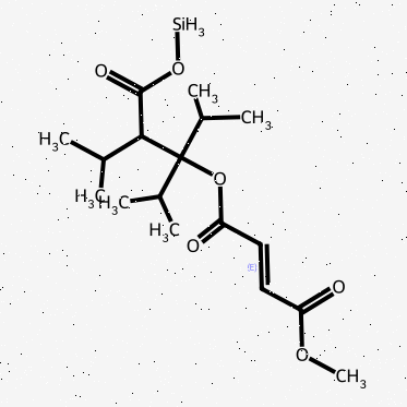 COC(=O)/C=C/C(=O)OC(C(C)C)(C(C)C)C(C(=O)O[SiH3])C(C)C